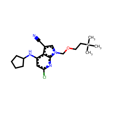 C[Si](C)(C)CCOCn1cc(C#N)c2c(NC3CCCC3)cc(Cl)nc21